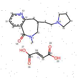 CN1CC(CCN2CCCC2)Cc2ncccc2C1=O.O=C(O)/C=C/C(=O)O